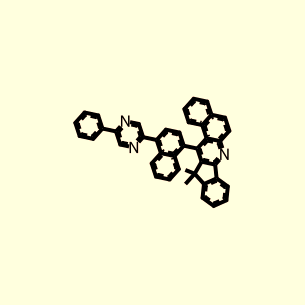 CC1(C)c2ccccc2-c2nc3ccc4ccccc4c3c(-c3ccc(-c4cnc(-c5ccccc5)cn4)c4ccccc34)c21